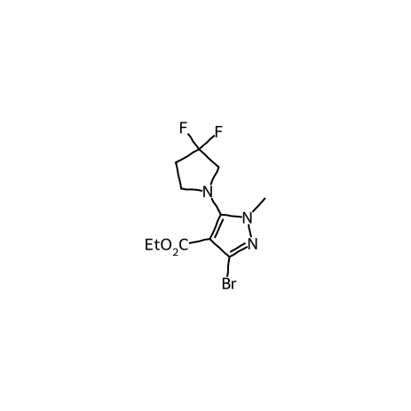 CCOC(=O)c1c(Br)nn(C)c1N1CCC(F)(F)C1